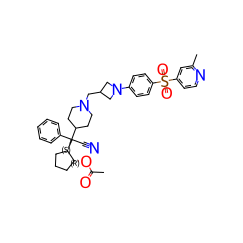 CC(=O)O[C@@H]1CCC[C@H]1C(C#N)(c1ccccc1)C1CCN(CC2CN(c3ccc(S(=O)(=O)c4ccnc(C)c4)cc3)C2)CC1